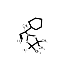 C=C[C@](C)(B1OC(C)(C)C(C)(C)O1)C1CCCCC1